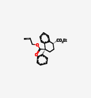 C=CCOC(=O)[C@]1(c2ccccc2)CC[C@@H](C(=O)OCC)c2ccccc21